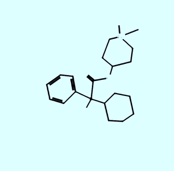 C[N+]1(C)CCC(OC(=O)C(O)(c2ccccc2)C2CCCCC2)CC1